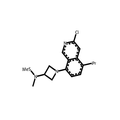 CSN(C)C1CN(c2ccc(C(C)C)c3cc(Cl)ncc23)C1